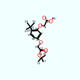 COC(=O)COc1cc(OCC(=O)OC(C)(C)C)ccc1C(C)(C)C